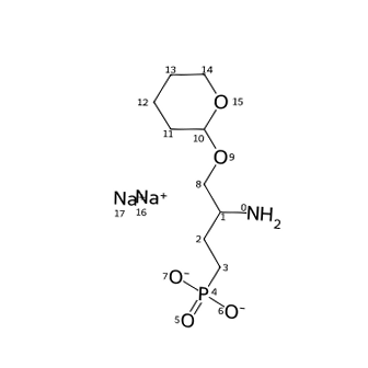 NC(CCP(=O)([O-])[O-])COC1CCCCO1.[Na+].[Na+]